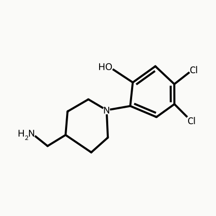 NCC1CCN(c2cc(Cl)c(Cl)cc2O)CC1